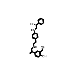 C=C(CNCCc1ccc(NC[C@@H](O)c2ccccc2)cc1)c1ccc(O)c(CO)c1